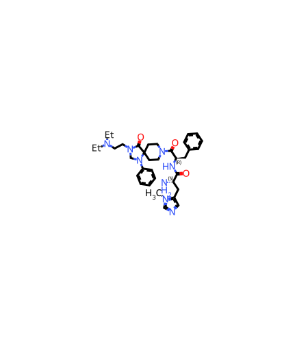 CCN(CC)CCN1CN(c2ccccc2)C2(CCN(C(=O)[C@@H](Cc3ccccc3)NC(=O)[C@@H](N)Cc3cncn3C)CC2)C1=O